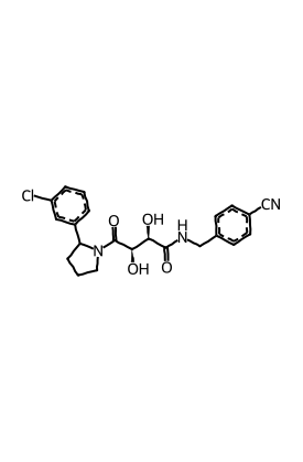 N#Cc1ccc(CNC(=O)[C@H](O)[C@@H](O)C(=O)N2CCCC2c2cccc(Cl)c2)cc1